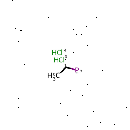 CC[P].Cl.Cl